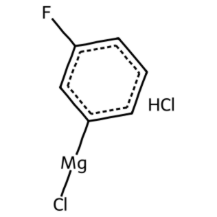 Cl.Fc1ccc[c]([Mg][Cl])c1